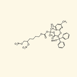 COC(c1ccccc1)(c1ccccc1)[C@H](Oc1nc(C)cc(C)n1)C(=O)OC(C)(C)OC(=O)OCCCCC(CO[N+](=O)[O-])O[N+](=O)[O-]